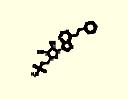 NS(=O)(=O)OC[C@@H]1O[C@@H](n2cnc3c(CCc4ccccc4)ncnc32)[C@H](O)[C@@H]1O